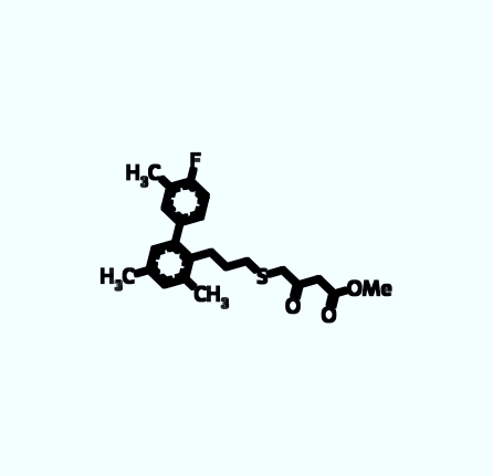 COC(=O)CC(=O)CSCCCc1c(C)cc(C)cc1-c1ccc(F)c(C)c1